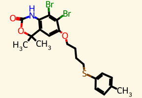 Cc1ccc(SCCCCOc2cc3c(c(Br)c2Br)NC(=O)OC3(C)C)cc1